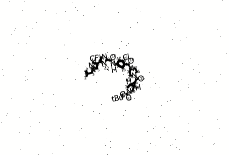 C=C(C)Cn1cc(-c2cnc(C(=O)Nc3ccc(C(=O)N4CCN(C(=O)C5[C@H]6CN(C(=O)OC(C)(C)C)C[C@@H]56)CC4)c(Cl)c3)n2C)c(C(F)(F)F)n1